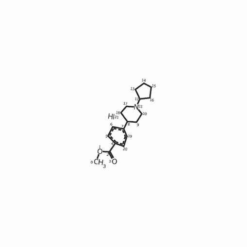 COC(=O)c1ccc(C2CCN(C3CCCC3)CC2)cc1.I